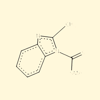 CSC(=S)n1c(C)nc2ccccc21